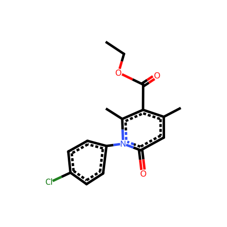 CCOC(=O)c1c(C)cc(=O)n(-c2ccc(Cl)cc2)c1C